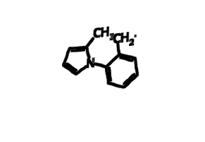 [CH2]c1ccccc1-n1cccc1C